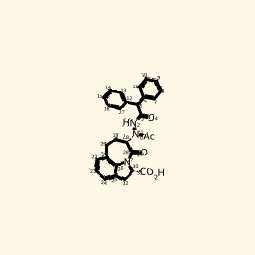 CC(=O)N(NC(=O)C(c1ccccc1)c1ccccc1)[C@H]1CCc2cccc3c2N(C1=O)[C@H](C(=O)O)C3